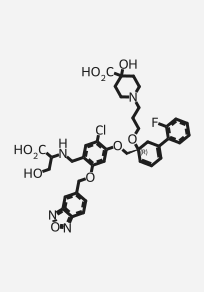 O=C(O)C(CO)NCc1cc(Cl)c(OC[C@]2(OCCCN3CCC(O)(C(=O)O)CC3)C=CC=C(c3ccccc3F)C2)cc1OCc1ccc2nonc2c1